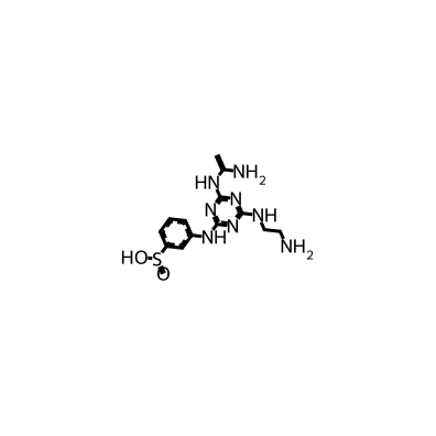 C=C(N)Nc1nc(NCCN)nc(Nc2cccc(S(=O)O)c2)n1